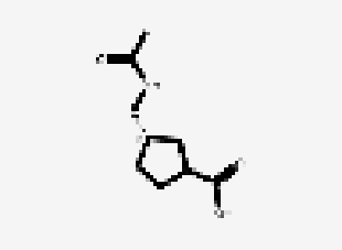 CC(=O)NC[C@H]1CCC(C(=O)O)C1